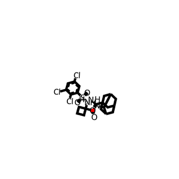 NC(=O)C12CC3CC(C1)C(NC(=O)C1(NS(=O)(=O)c4cc(Cl)cc(Cl)c4Cl)CCC1)C(C3)C2